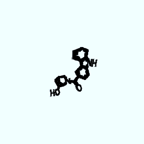 O=C(c1ccc2[nH]c3ccccc3c2c1)N1CC2CC(O)C1C2